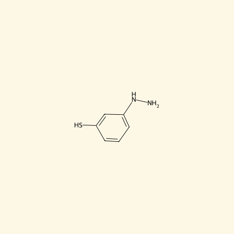 NNc1cccc(S)c1